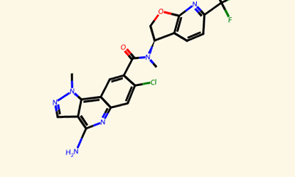 CN(C(=O)c1cc2c(cc1Cl)nc(N)c1cnn(C)c12)[C@H]1COc2nc(C(F)(F)F)ccc21